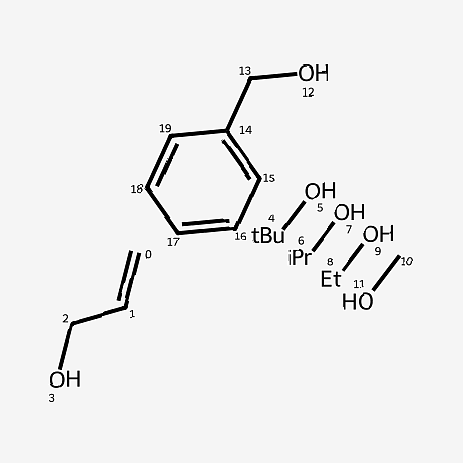 C=CCO.CC(C)(C)O.CC(C)O.CCO.CO.OCc1ccccc1